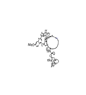 COc1ccc2c(O[C@@H]3C[C@H]4C(=O)N[C@]5(C(=O)O)CC5/C=C\CCCCC[C@H](NC(=O)O[C@H](CN5CCCN(C(C)C)S5(=O)=O)C(C)(C)C)C(=O)N4C3)cc(-c3csc(NC(C)C)n3)nc2c1